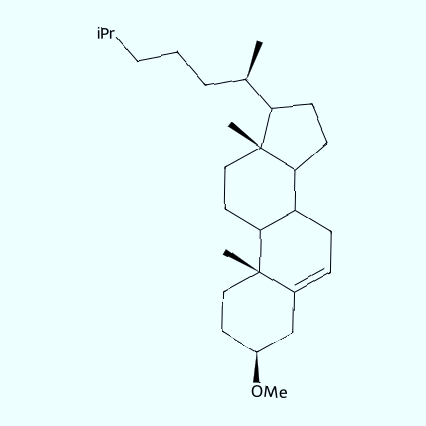 CO[C@H]1CC[C@@]2(C)C(=CCC3C4CCC([C@H](C)CCCC(C)C)[C@@]4(C)CCC32)C1